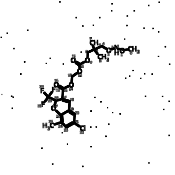 CONOCC(C)(C)COC(=O)OCOC(=O)C1=Cc2cc(Cl)cc(C)c2OC1C(F)(F)F